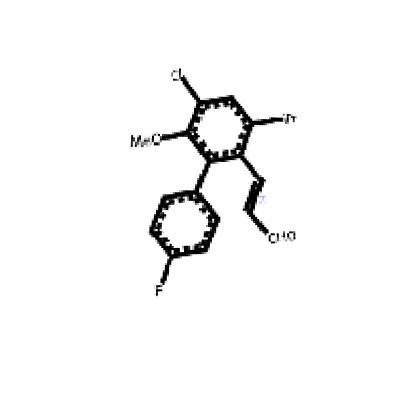 COc1c(Cl)cc(C(C)C)c(/C=C/C=O)c1-c1ccc(F)cc1